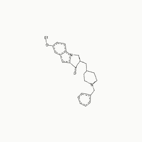 CCOc1ccc2c(c1)cc1n2CC(CC2CCN(Cc3ccccc3)CC2)C1=O